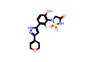 O=C1CN(c2c(O)ccc(-c3cc(C4=CCOCC4)n[nH]3)c2F)S(=O)(=O)N1